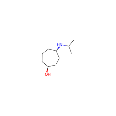 CC(C)N[C@@H]1CCC[C@H](O)CC1